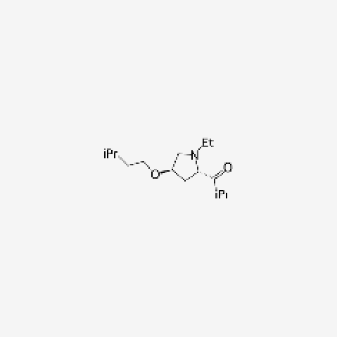 CCN1C[C@H](OCCC(C)C)C[C@H]1C(=O)C(C)C